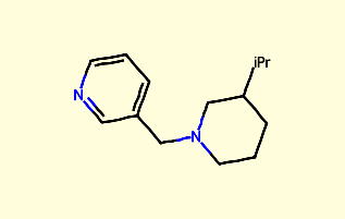 CC(C)C1CCCN(Cc2cccnc2)C1